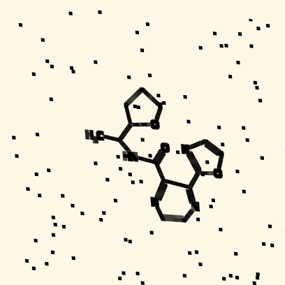 CC(NC(=O)c1nccnc1-c1ncco1)C1CCCO1